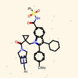 COc1ccc(-c2c(C3CCCCC3)c3ccc(C(=O)NS(=O)(=O)C(C)C)cc3n2CC2(C(=O)N3CC45CCC4(CN(C(C)=O)C5)C3)CC2)cc1